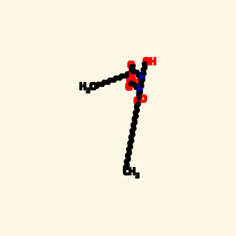 CCCCCCCCCCCCCCCCCCCCCCCOC(=O)CCN(CCCN(CCCCO)CCC(=C=O)OCCCCCCCCCCCCC)CCC(=O)O